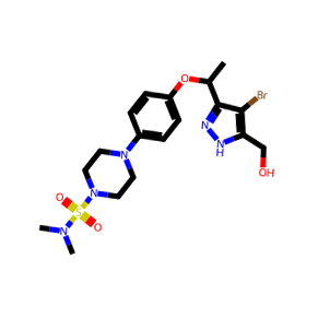 CC(Oc1ccc(N2CCN(S(=O)(=O)N(C)C)CC2)cc1)c1n[nH]c(CO)c1Br